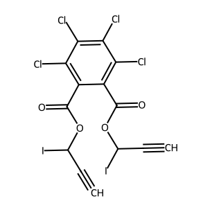 C#CC(I)OC(=O)c1c(Cl)c(Cl)c(Cl)c(Cl)c1C(=O)OC(I)C#C